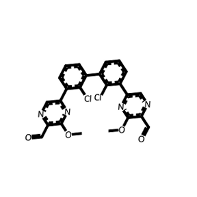 COc1nc(-c2cccc(-c3cccc(-c4cnc(C=O)c(OC)n4)c3Cl)c2Cl)cnc1C=O